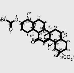 CCCCC(=O)O[C@H]1CC[C@@]2(C)C(CC[C@]3(C)C2C(=O)C=C2[C@@H]4C[C@@](C)(C(=O)O)CC[C@]4(C)CC[C@]23C)[C@H]1C